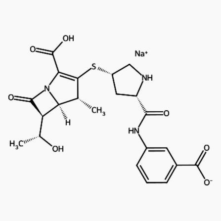 C[C@@H](O)[C@H]1C(=O)N2C(C(=O)O)=C(S[C@@H]3CN[C@H](C(=O)Nc4cccc(C(=O)[O-])c4)C3)[C@H](C)[C@@H]12.[Na+]